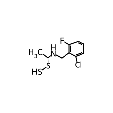 CC(NCc1c(F)cccc1Cl)SS